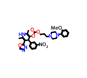 COc1ccccc1N1CCN(CCCOC(=O)OC2=C(C)NC(C)=C(c3nnco3)C2c2cccc([N+](=O)[O-])c2)CC1